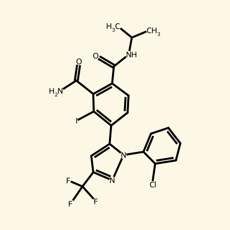 CC(C)NC(=O)c1ccc(-c2cc(C(F)(F)F)nn2-c2ccccc2Cl)c(I)c1C(N)=O